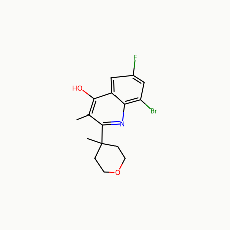 Cc1c(C2(C)CCOCC2)nc2c(Br)cc(F)cc2c1O